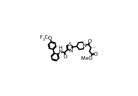 COC(=O)C[C@@H](C)C(=O)N1CCC(c2nc(C(=O)Nc3ccccc3-c3ccc(OC(F)(F)F)cc3)cs2)CC1